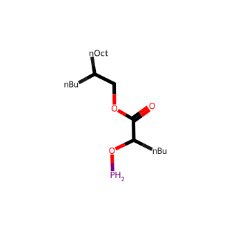 CCCCCCCCC(CCCC)COC(=O)C(CCCC)OP